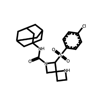 O=C(NC12CC3CC(CC(C3)C1)C2)N1CC2(CCN2)C1S(=O)(=O)c1ccc(Cl)cc1